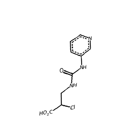 O=C(NCC(Cl)C(=O)O)Nc1cccnc1